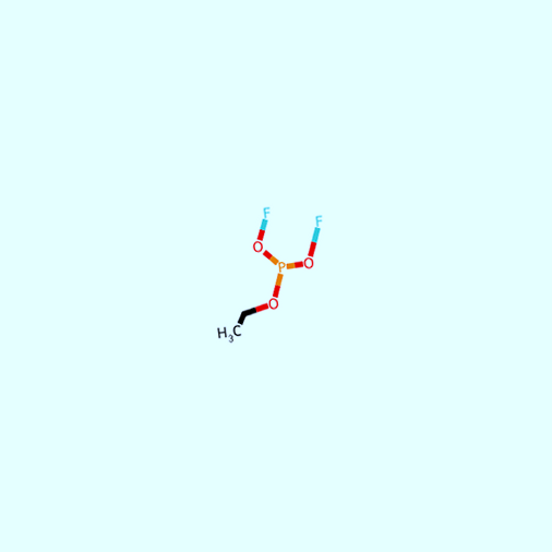 CCOP(OF)OF